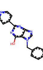 Oc1nc(-c2ccncc2)nc2ncn(Cc3ccccc3)c12